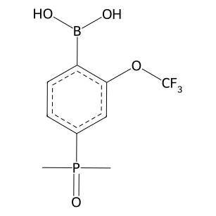 CP(C)(=O)c1ccc(B(O)O)c(OC(F)(F)F)c1